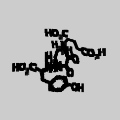 N[C@@H](CCC(=O)O)C(=O)O.N[C@@H](Cc1ccc(O)cc1)C(=O)O.O=C1NCCNC1=O